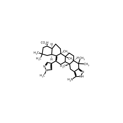 Cn1cc(C2=C3[C@H]4CC(C)(C)C[C@@H](C(=O)O)[C@H]4CC[C@@]3(C)[C@]3(C)CC[C@H]4C(C)(C)c5n[nH]c(N)c5C[C@]4(C)C3C2)cn1